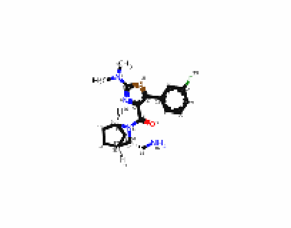 CN(C)c1nc(C(=O)N2[C@@H]3CC[C@@H](C3)[C@H]2CN)c(-c2cccc(F)c2)s1